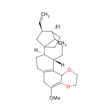 C=C[C@@H]1CC23CC[C@@]1(CC)[C@@]2(C)CC[C@@H]1C2=C(CC[C@H]13)CC(OC)=C1OCCOC12